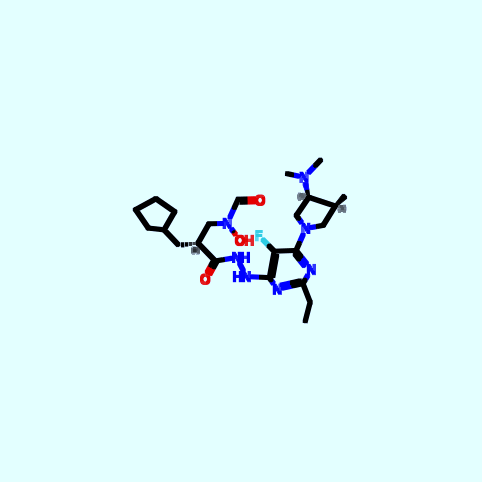 CCc1nc(NNC(=O)[C@H](CC2CCCC2)CN(O)C=O)c(F)c(N2C[C@@H](N(C)C)[C@@H](C)C2)n1